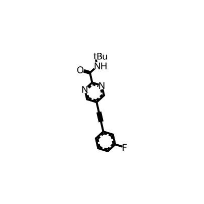 CC(C)(C)NC(=O)c1ncc(C#Cc2cccc(F)c2)cn1